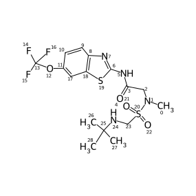 CN(CC(=O)Nc1nc2ccc(OC(F)(F)F)cc2s1)S(=O)(=O)CNC(C)(C)C